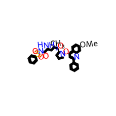 COc1ccc2c(ON3CCC[C@H]3C(=O)[C@H](C)C[C@H](N)C(=O)NS(=O)(=O)c3ccccc3)cc(-c3ccccc3)nc2c1